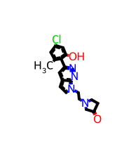 Cc1cc(Cl)cc(O)c1-c1cc2ccn(CCN3CCC(=O)C3)c2nn1